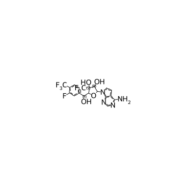 Nc1ncnc2c1ccn2C1OC([C@H](O)c2ccc(C(F)(F)F)c(F)c2)[C@](O)(C(F)(F)F)[C@H]1O